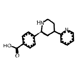 O=C(O)c1ccc([C@@H]2CC(c3ccccn3)CCN2)cc1